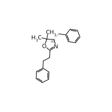 CC1(C)OC(CCc2ccccc2)=N[C@H]1Cc1ccccc1